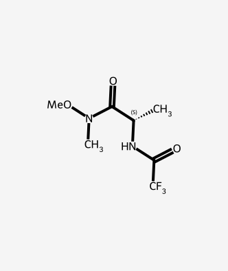 CON(C)C(=O)[C@H](C)NC(=O)C(F)(F)F